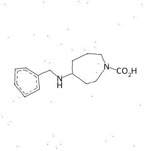 O=C(O)N1CCCC(NCc2ccccc2)CC1